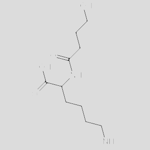 NCCCCC(NC(=O)CCCO)C(=O)O